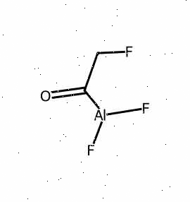 O=[C](CF)[Al]([F])[F]